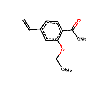 C=Cc1ccc(C(=O)OC)c(OCOC)c1